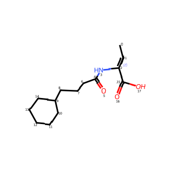 C/C=C(\NC(=O)CCCC1CCCCC1)C(=O)O